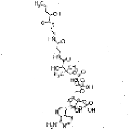 C=CCC(O)C(=O)SCCNC(=O)CCNC(=O)C(O)C(C)(C)COP(=O)(O)OP(=O)(O)OC[C@H]1O[C@@H](n2cnc3c(N)ncnc32)[C@H](O)[C@@H]1OP(=O)(O)O